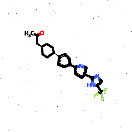 CC(=O)C[C@H]1CC[C@H](c2ccc(-c3ccc(-c4ncc(C(F)(F)F)[nH]4)cn3)cc2)CC1